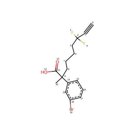 C#CC(F)(F)CCCCC(C)(C(=O)O)c1cccc(Br)c1